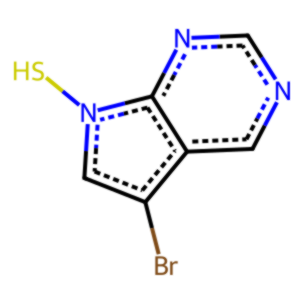 Sn1cc(Br)c2cncnc21